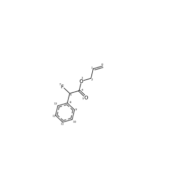 C=CCOC(=O)C(F)c1ccccc1